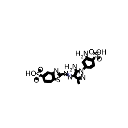 Cc1nn(-c2ccc(S(=O)(=O)O)c(N)c2)c(N)c1/N=N/c1nc2cc(S(=O)(=O)O)ccc2s1